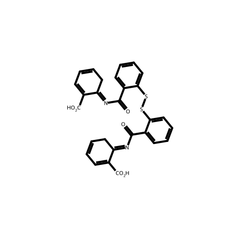 O=C(O)C1=CC=CCC1=NC(=O)c1ccccc1SSc1ccccc1C(=O)N=C1CC=CC=C1C(=O)O